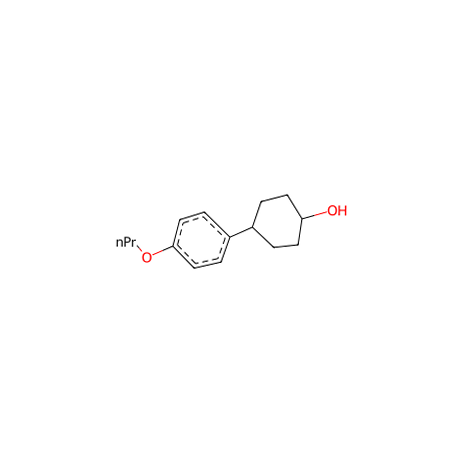 CCCOc1ccc(C2CCC(O)CC2)cc1